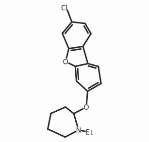 CCN1CCCCC1Oc1ccc2c(c1)oc1cc(Cl)ccc12